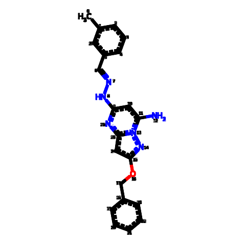 Cc1cccc(/C=N/Nc2cc(N)n3nc(OCc4ccccc4)cc3n2)c1